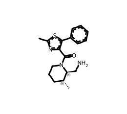 Cc1nc(C(=O)N2CCC[C@@H](C)[C@@H]2CN)c(-c2ccccc2)s1